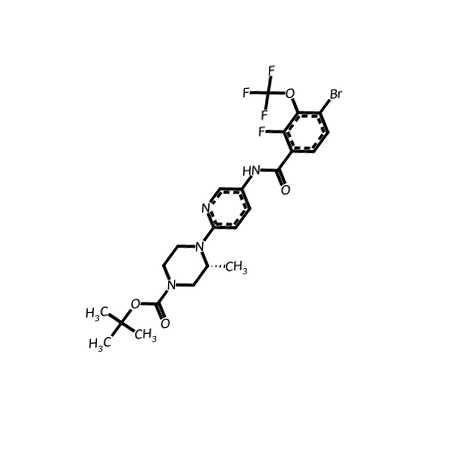 C[C@@H]1CN(C(=O)OC(C)(C)C)CCN1c1ccc(NC(=O)c2ccc(Br)c(OC(F)(F)F)c2F)cn1